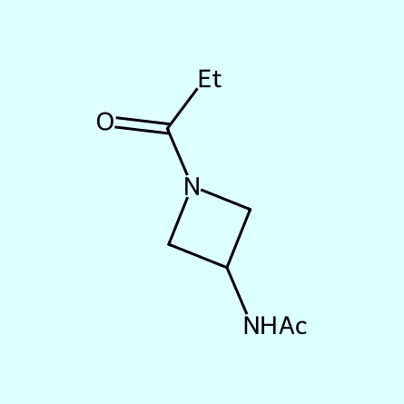 CCC(=O)N1CC(NC(C)=O)C1